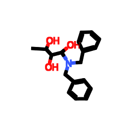 CC(O)C(O)C(O)N(Cc1ccccc1)Cc1ccccc1